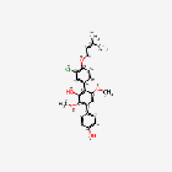 COc1cc(-c2ccc(O)cc2)c(OC)c(O)c1-c1ccc(OCC=C(C)C)c(Cl)c1